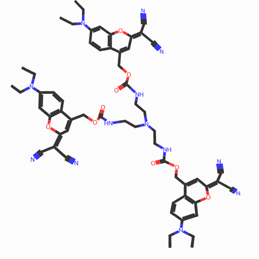 CCN(CC)c1ccc2c(c1)OC(=C(C#N)C#N)C=C2COC(=O)NCCN(CCNC(=O)OCC1=CC(=C(C#N)C#N)Oc2cc(N(CC)CC)ccc21)CCNC(=O)OCC1=CC(=C(C#N)C#N)Oc2cc(N(CC)CC)ccc21